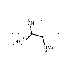 [CH2]C(C#N)COC